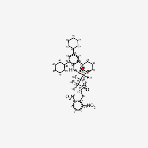 O=[N+]([O-])c1cccc([N+](=O)[O-])c1COS(=O)(=O)C(F)(F)C(F)(F)C(F)(F)S(=O)(=O)Nc1c(C2CCCCC2)cc(C2CCCCC2)cc1C1CCCCC1